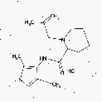 C=C(C)CN1CCCCC1C(=O)Nc1c(C)csc1C.Cl